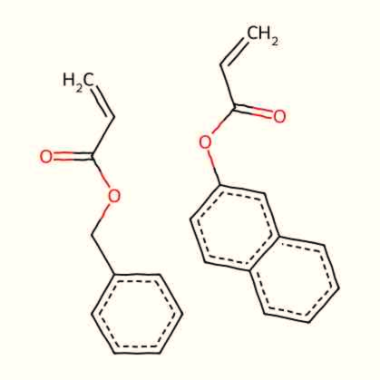 C=CC(=O)OCc1ccccc1.C=CC(=O)Oc1ccc2ccccc2c1